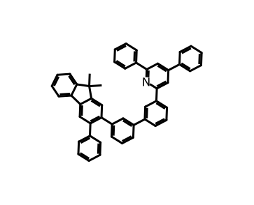 CC1(C)c2ccccc2-c2cc(-c3ccccc3)c(-c3cccc(-c4cccc(-c5cc(-c6ccccc6)cc(-c6ccccc6)n5)c4)c3)cc21